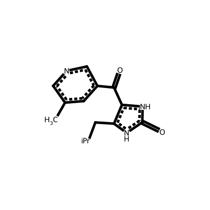 Cc1cncc(C(=O)c2[nH]c(=O)[nH]c2CC(C)C)c1